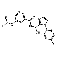 CC(NC(=O)c1cncc(OC(F)F)c1)c1ncnn1-c1ccc(F)cn1